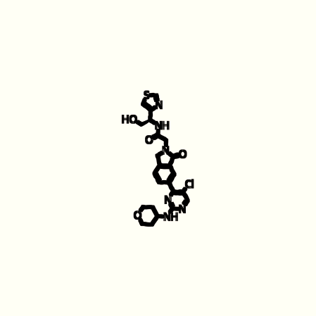 O=C(CN1Cc2ccc(-c3nc(NC4CCOCC4)ncc3Cl)cc2C1=O)N[C@@H](CO)c1cscn1